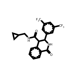 O=C1NC(c2cc(C(F)(F)F)cc(C(F)(F)F)c2)C(C(=O)NCC2CC2)c2ccccc21